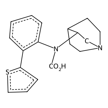 O=C(O)N(c1ccccc1-c1cccs1)C1CN2CCC1CC2